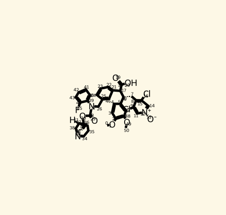 COc1ccc([C@@H](Cc2c(Cl)c[n+]([O-])cc2Cl)C(C(=O)O)c2cccc(CN(C(=O)O[C@H]3CN4CCC3CC4)c3ccccc3F)c2)cc1OC